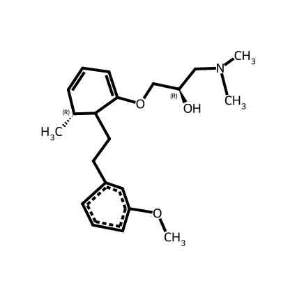 COc1cccc(CCC2C(OC[C@H](O)CN(C)C)=CC=C[C@H]2C)c1